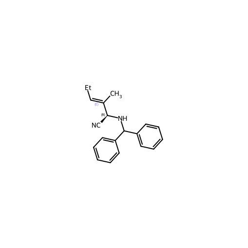 CC/C=C(\C)[C@H](C#N)NC(c1ccccc1)c1ccccc1